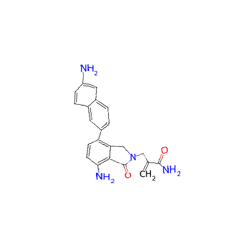 C=C(CN1Cc2c(-c3ccc4cc(N)ccc4c3)ccc(N)c2C1=O)C(N)=O